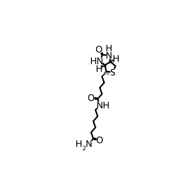 NC(=O)CCCCCNC(=O)CCCC[C@@H]1SC[C@H]2NC(=O)N[C@@H]12